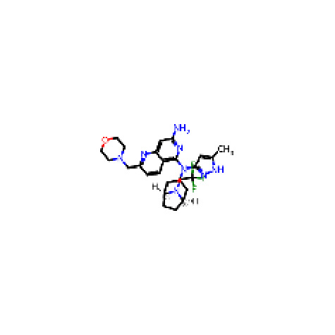 Cc1cc(N(c2nc(N)cc3nc(CN4CCOCC4)ccc23)C2C[C@H]3CC[C@@H](C2)N3CC(F)(F)F)n[nH]1